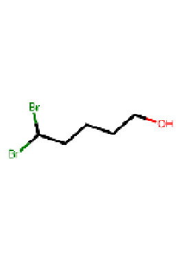 OCCCCC(Br)Br